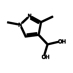 Cc1nn(C)cc1C(O)O